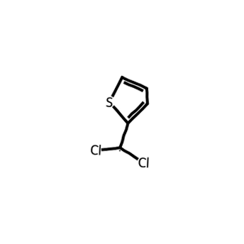 Cl[C](Cl)c1cccs1